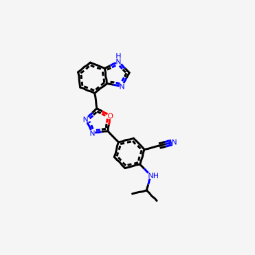 CC(C)Nc1ccc(-c2nnc(-c3cccc4[nH]cnc34)o2)cc1C#N